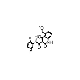 COCc1cccc2[nH]c(=O)c(C(=O)N(C)c3cc(F)ccc3F)c(O)c12